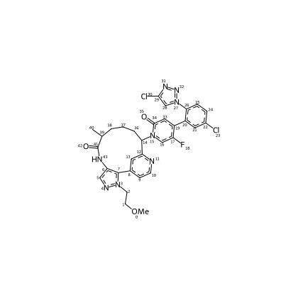 COCCn1ncc2c1-c1ccnc(c1)C(n1cc(F)c(-c3cc(Cl)ccc3-n3cc(Cl)nn3)cc1=O)CCCC(C)C(=O)N2